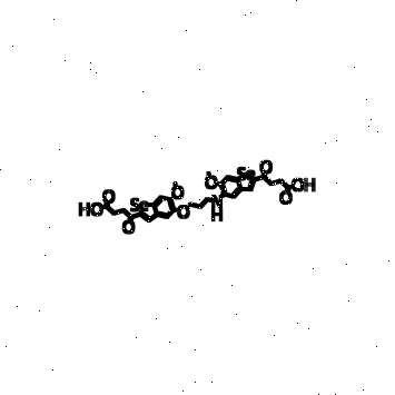 COc1cc2[se]c(C(=O)CCC(=O)O)cc2cc1NCCCOc1cc2cc(C(=O)CCC(=O)O)[se]c2cc1OC